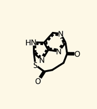 O=C1CCC(=O)c2ncc3[nH]c(nc3n2)S1